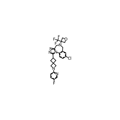 Fc1ccc(N2CC3(CC(c4nnc5n4-c4ccc(Cl)cc4CN(C4(C(F)(F)F)COC4)C5)C3)C2)nc1